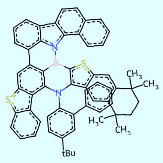 CC(C)(C)c1ccc(N2c3c(sc4cc5c(cc34)C(C)(C)CCC5(C)C)B3c4c(cc5sc6ccccc6c5c42)-c2cccc4c5ccc6ccccc6c5n3c24)c(-c2ccccc2)c1